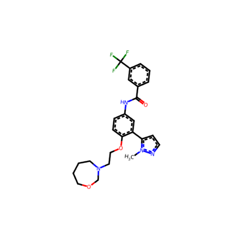 Cn1nccc1-c1cc(NC(=O)c2cccc(C(F)(F)F)c2)ccc1OCCN1CCCCOC1